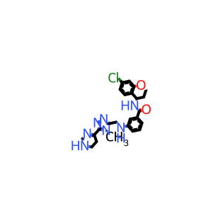 Cn1c(CNc2cccc(C(=O)N[C@@H]3CCOc4cc(Cl)ccc43)c2)nnc1C1=NCNCC1